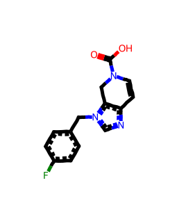 O=C(O)N1C=Cc2ncn(Cc3ccc(F)cc3)c2C1